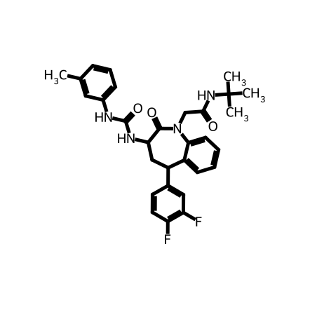 Cc1cccc(NC(=O)NC2CC(c3ccc(F)c(F)c3)c3ccccc3N(CC(=O)NC(C)(C)C)C2=O)c1